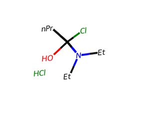 CCCC(O)(Cl)N(CC)CC.Cl